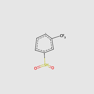 O=[SH](=O)c1cc[c]c(C(F)(F)F)c1